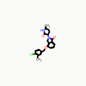 C=C1CCC(N2Cc3c(OCc4ccc(Cl)c(C)c4)cccc3C2=O)C(=O)N1